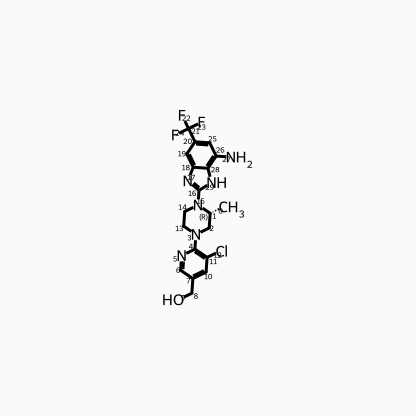 C[C@@H]1CN(c2ncc(CO)cc2Cl)CCN1c1nc2cc(C(F)(F)F)cc(N)c2[nH]1